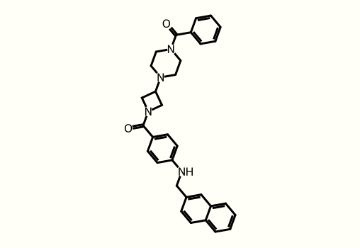 O=C(c1ccccc1)N1CCN(C2CN(C(=O)c3ccc(NCc4ccc5ccccc5c4)cc3)C2)CC1